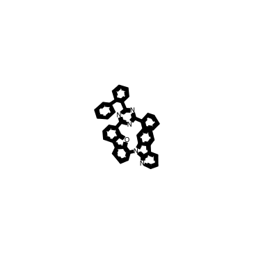 c1ccc(-c2nc(-c3ccccc3-c3ccccc3)nc(-c3cccc4c3oc3c(-n5c6ccccc6c6cccnc65)cccc34)n2)cc1